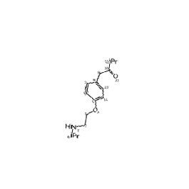 CC(C)NCCOc1ccc(CC(=O)C(C)C)cc1